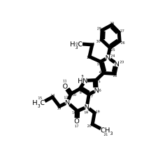 CCCc1c(-c2nc3c([nH]2)c(=O)n(CCC)c(=O)n3CCC)cnn1-c1ccccc1